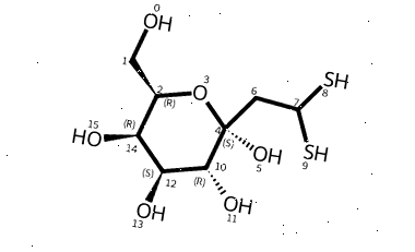 OC[C@H]1O[C@@](O)(CC(S)S)[C@H](O)[C@@H](O)[C@H]1O